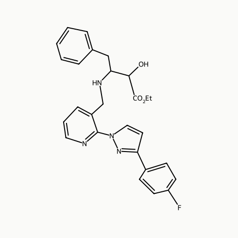 CCOC(=O)C(O)C(Cc1ccccc1)NCc1cccnc1-n1ccc(-c2ccc(F)cc2)n1